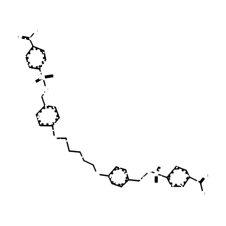 N=C(N)c1ccc(S(=O)(=O)NCc2ccc(OCCCCCOc3ccc(CNS(=O)(=O)c4ccc(C(=N)N)cc4)cc3)cc2)cc1